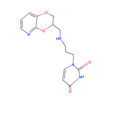 O=c1ccn(CCCNCC2COc3cccnc3O2)c(=O)[nH]1